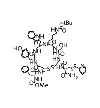 COC(=O)N[C@H](Cc1ccccc1)C(=O)N[C@H]1CSSC[C@@H](C(=O)N[C@@H](CSSc2ccccn2)C(N)=O)NC(=O)[C@H]([C@@H](C)O)NC(=O)[C@H](CCCCNC(=O)OC(C)(C)C)NC(=O)[C@@H](Cc2c[nH]c3ccccc23)NC(=O)[C@H](Cc2ccc(O)cc2)NC1=O